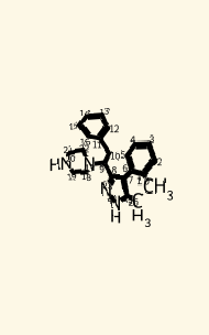 Cc1ccccc1-c1c(C(Cc2ccccc2)N2CCNCC2)n[nH]c1C